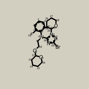 Fc1cccc(F)c1N(CCOC1CCCCO1)c1nc(Br)nn1C1CCCCO1